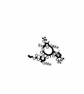 C=CCOC(=O)O[C@H]1[C@H](C)O[C@@H](O[C@H]2[C@H](C)[C@@H](O[C@@H]3O[C@H](C)C[C@H](N(C)C)[C@H]3O[Si](C)(C)C)[C@](C)(OC)C[C@@H](C)[C@]3(OC)O[C@@](C)([C@H](O[Si](C)(C)C)[C@H]3C)[C@@H](CC)OC(=O)[C@@H]2C)C[C@@]1(C)OC